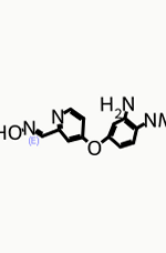 CNc1ccc(Oc2ccnc(/C=N/O)c2)cc1N